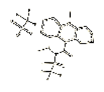 CC(C)N(C(=O)[c+]1c2ccccc2n(C)c2ccccc21)S(=O)(=O)C(F)(F)F.O=S(=O)([O-])C(F)(F)F